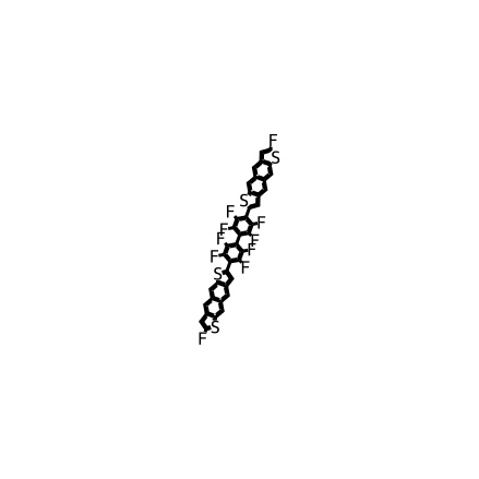 Fc1cc2cc3cc4sc(-c5c(F)c(F)c(-c6c(F)c(F)c(-c7cc8cc9cc%10sc(F)cc%10cc9cc8s7)c(F)c6F)c(F)c5F)cc4cc3cc2s1